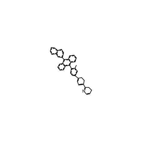 Cc1cc(C2=CC=C(C3=NC=CCC3)CC2)ccc1-c1c2ccccc2c(-c2ccc3ccccc3c2)c2ccccc12